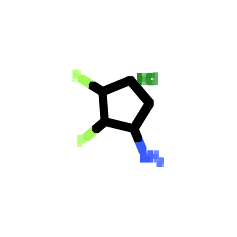 Cl.NC1CCC(F)C1F